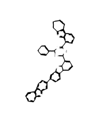 C1=CC2c3ccc(-c4ccc5c(c4)oc4ccccc45)cc3OC2C(C2NC(c3cccc4c5c(oc34)CCC=C5)=NC(C3=CCCC=C3)N2)=C1